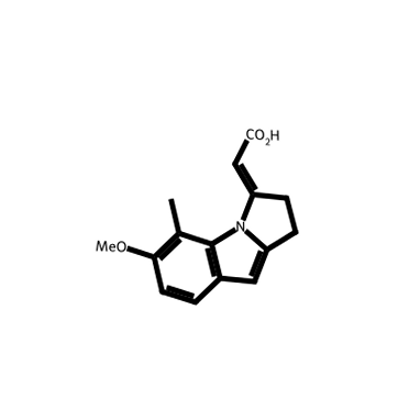 COc1ccc2cc3n(c2c1C)C(=CC(=O)O)CC3